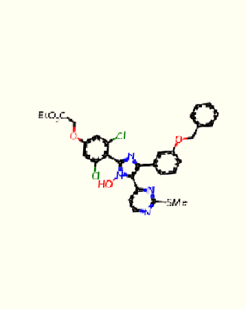 CCOC(=O)COc1cc(Cl)c(-c2nc(-c3cccc(OCc4ccccc4)c3)c(-c3ccnc(SC)n3)n2O)c(Cl)c1